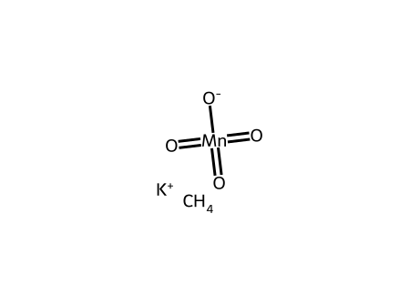 C.[K+].[O]=[Mn](=[O])(=[O])[O-]